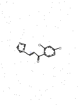 O=C(/C=C/n1ccnc1)c1ccc(Cl)cc1Cl